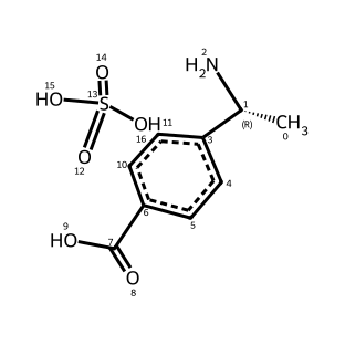 C[C@@H](N)c1ccc(C(=O)O)cc1.O=S(=O)(O)O